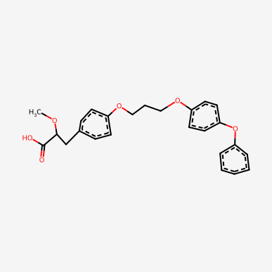 COC(Cc1ccc(OCCCOc2ccc(Oc3ccccc3)cc2)cc1)C(=O)O